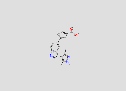 COC(=O)c1coc(-c2ccn3ncc(-c4c(C)nn(C)c4C)c3c2)c1